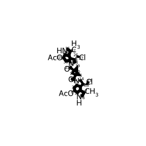 CC(=O)Oc1cc2c(c3c(C)c[nH]c13)[C@H](CCl)CN2C(=O)C12CC3(C(=O)N4C[C@@H](CCl)c5c4cc(OC(C)=O)c4[nH]cc(C)c54)CC13C2